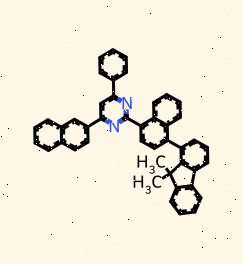 CC1(C)c2ccccc2-c2cccc(-c3ccc(-c4nc(-c5ccccc5)cc(-c5ccc6ccccc6c5)n4)c4ccccc34)c21